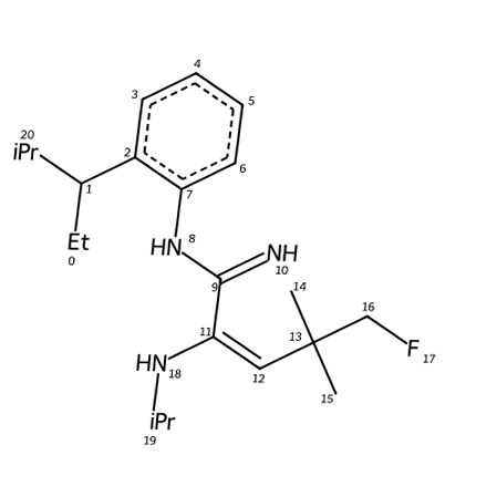 CCC(c1ccccc1NC(=N)/C(=C\C(C)(C)CF)NC(C)C)C(C)C